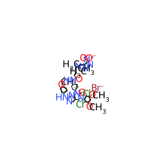 COc1ccc(Nc2ncc3c(n2)N(C2CCC(NC(=O)/C=C/C[N+](C)(C)Cc4c([N+](=O)[O-])ncn4C)CC2)C(=O)N(c2c(Cl)c(OC)cc(OC)c2Cl)C3)cc1.[Br-]